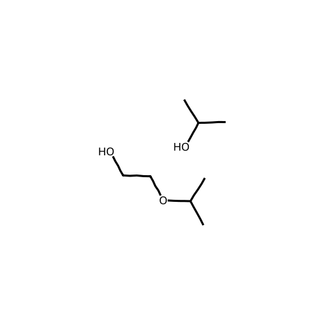 CC(C)O.CC(C)OCCO